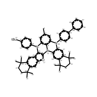 Cc1cc2c3c(c1)N(c1ccc(C(C)(C)C)cc1)c1c(oc4cc5c(cc14)C(C)(C)CCC5(C)C)B3c1cc3c(cc1N2c1ccc(-c2ccccc2)cc1)C(C)(C)CCC3(C)C